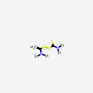 C=C(SSC(=S)N(CC)CC)N(CC)CC